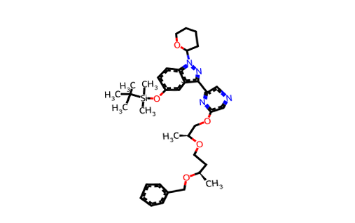 C[C@H](CCO[C@@H](C)COc1cncc(-c2nn(C3CCCCO3)c3ccc(O[Si](C)(C)C(C)(C)C)cc23)n1)OCc1ccccc1